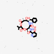 CC(C)C1OC(=O)[C@H](C)[C@H](O)[C@H](Cc2ccccc2)NC(=O)[C@@H](NC(=O)c2ncccc2O)[C@@H](C)OC1=O